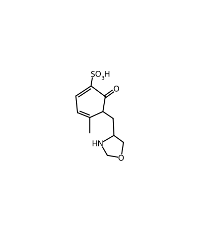 CC1=CC=C(S(=O)(=O)O)C(=O)C1CC1COCN1